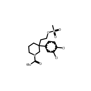 CC(C)(C)C(=O)N1CCCC(CCOS(C)(=O)=O)(c2ccc(Cl)c(Cl)c2)C1